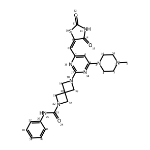 CN1CCN(c2cc(/C=C3/SC(=O)NC3=O)nc(N3CC4(CN(C(=O)Nc5ccccc5)C4)C3)n2)CC1